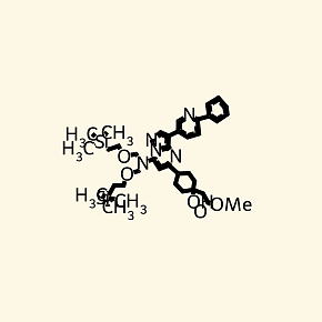 COC(=O)CC1(O)CCC(c2cc(N(COCC[Si](C)(C)C)COCC[Si](C)(C)C)n3ncc(-c4ccc(-c5ccccc5)nc4)c3n2)CC1